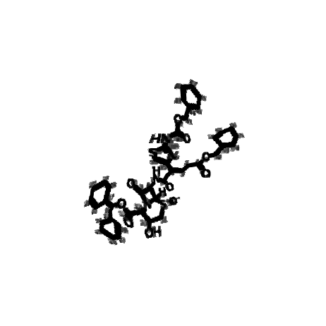 O=C(CC=C(C(=O)N[C@@H]1C(=O)N2C(C(=O)OC(c3ccccc3)c3ccccc3)C(O)C[S+]([O-])[C@@H]12)c1csc(NC(=O)OCc2ccccc2)n1)OCc1ccccc1